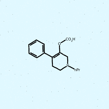 CCCN1CCC(c2ccccc2)=C(OC(=O)O)C1